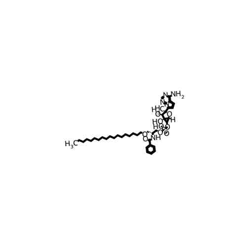 CCCCCCCCCCCCCCCCCCOC[C@H](COP(=O)(O)OC1[C@H]2O[C@@](C)(c3ccc4c(N)ncnn34)[C@H](O)[C@@]12O)NC(=O)c1ccccc1